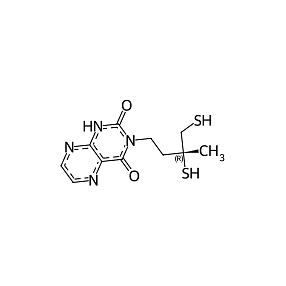 C[C@](S)(CS)CCn1c(=O)[nH]c2nccnc2c1=O